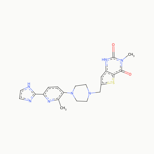 Cc1nc(-c2ncc[nH]2)ccc1N1CCN(Cc2cc3[nH]c(=O)n(C)c(=O)c3s2)CC1